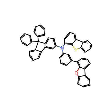 c1ccc(C2(c3ccccc3)c3ccccc3-c3cc(N(c4cccc(-c5cccc6c5oc5ccccc56)c4)c4cccc5c4sc4ccccc45)ccc32)cc1